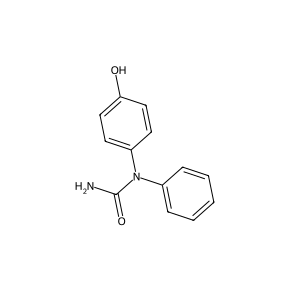 NC(=O)N(c1ccccc1)c1ccc(O)cc1